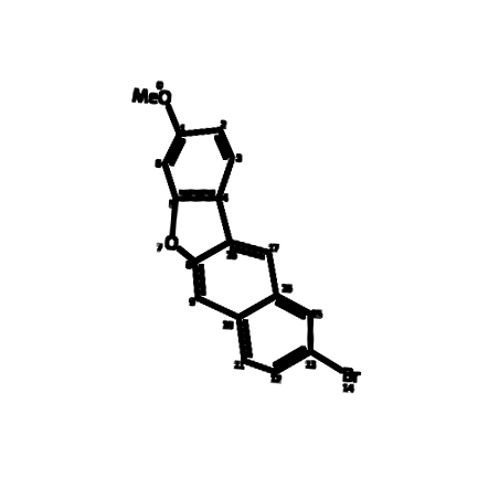 COc1ccc2c(c1)oc1cc3ccc(Br)cc3cc12